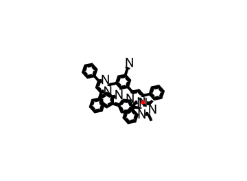 Cc1nc(C)nc(-c2ccc3c4ccccc4n(-c4c(-c5cc(-c6ccccc6)nc(-c6ccccc6)n5)cc(C#N)cc4-c4nc(-c5ccccc5)cc(-c5ccccc5)n4)c3c2)n1